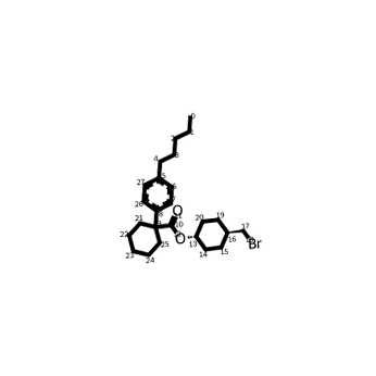 CCCCCc1ccc(C2(C(=O)O[C@H]3CC[C@H](CBr)CC3)CCCCC2)cc1